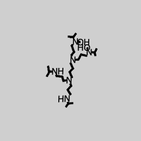 CC(C)NCCCN(CCCCN(CCCN(O)C(C)C)CCCN(O)C(C)C)CCCNC(C)C